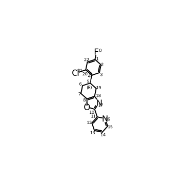 Fc1ccc([C@@H]2CCc3oc(-c4ccccn4)nc3C2)c(Cl)c1